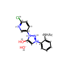 CC(=O)Nc1ccccc1-[n+]1cc(O)n(-c2ccc(Cl)nc2)n1.[OH-]